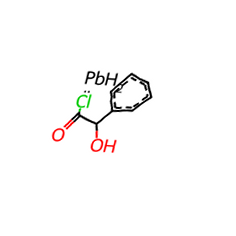 O=C(Cl)C(O)c1ccccc1.[PbH2]